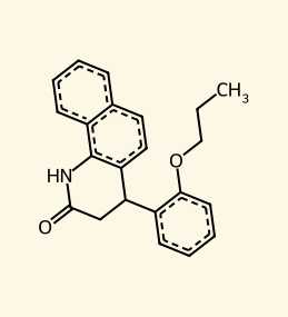 CCCOc1ccccc1C1CC(=O)Nc2c1ccc1ccccc21